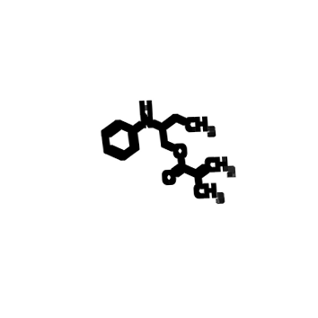 C=C(C)C(=O)OCC(CC)Nc1ccccc1